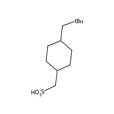 CC(C)(C)CC1CCC(CS(=O)(=O)O)CC1